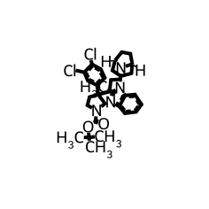 Cc1nc2ccccc2n1[C@H]1C[C@H]2CC[C@@H](C1)N2CCCC1(c2ccc(Cl)c(Cl)c2)CCN(C(=O)OC(C)(C)C)C1